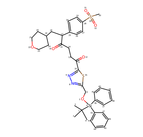 CC(C)(C)[Si](OCc1nnc(C(=O)CCC(=O)C(CC2CCOCC2)c2ccc(S(C)(=O)=O)cc2)s1)(c1ccccc1)c1ccccc1